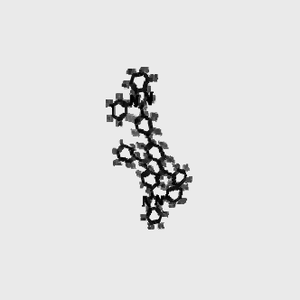 c1ccc(-c2c3ccc(-c4nc5ccccc5n4-c4ccccc4)cc3c(-c3ccccc3)c3ccc(-c4ccc(-c5nc6ccccc6n5-c5ccccc5)cc4)cc23)cc1